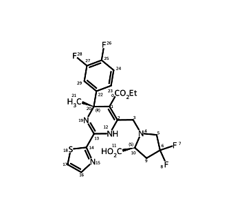 CCOC(=O)C1=C(CN2CC(F)(F)C[C@H]2C(=O)O)NC(c2nccs2)=N[C@]1(C)c1ccc(F)c(F)c1